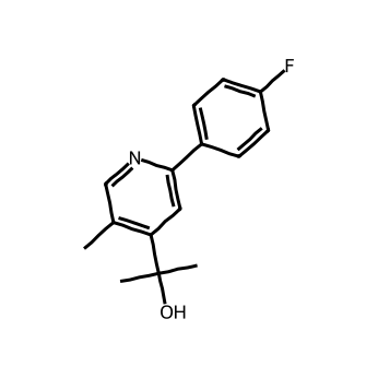 Cc1cnc(-c2ccc(F)cc2)cc1C(C)(C)O